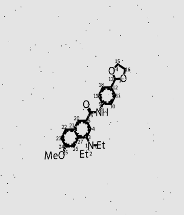 CCN(CC)c1cc(C(=O)Nc2ccc(C3OCCO3)cc2)cc2ccc(OC)cc12